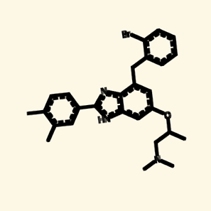 Cc1ccc(-c2nc3c(Cc4ccccc4Br)cc(OC(C)CN(C)C)cc3[nH]2)cc1C